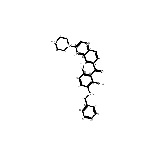 O=C(c1ccc2ncc(N3CCOCC3)nc2c1)c1c(Cl)ccc(OCc2ccccc2)c1F